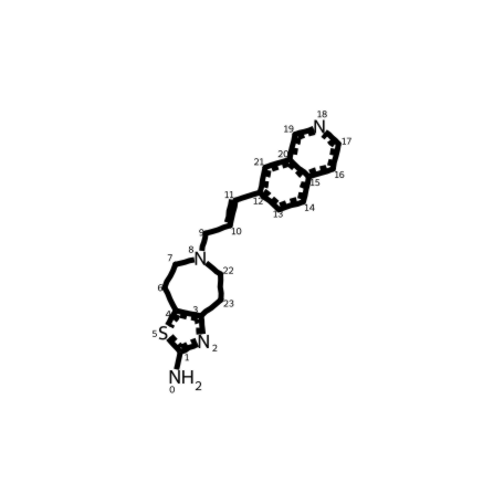 Nc1nc2c(s1)CCN(C/C=C/c1ccc3ccncc3c1)CC2